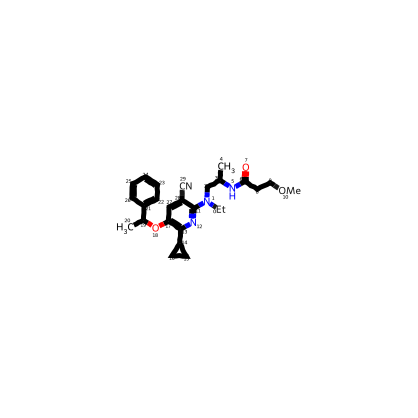 CCN(CC(C)NC(=O)CCOC)c1nc(C2CC2)c(OC(C)c2ccccc2)cc1C#N